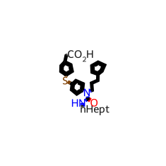 CCCCCCCNC(=O)N(CCCc1ccccc1)c1ccc(Sc2ccc(CC(=O)O)cc2)cc1